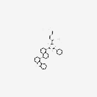 C=C(/C=C\C=C/C)c1nc(-c2ccccc2)nc(-c2cccc3c(-c4cccc5oc6ccccc6c45)cccc23)n1